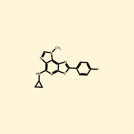 Cn1cnc2c(NC3CC3)nc3sc(-c4ccc(F)cc4)nc3c21